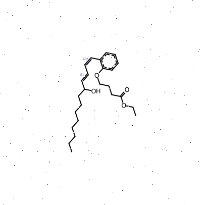 CCCCCCCCC(O)/C=C/C=C\c1ccccc1OCCCC(=O)OCC